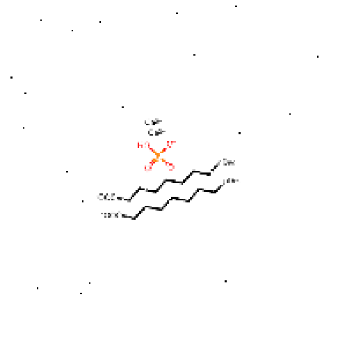 CCCCCCCCCCCCCCCCCC(=O)[O-].CCCCCCCCCCCCCCCCCC(=O)[O-].O=P([O-])([O-])O.[Ca+2].[Ca+2]